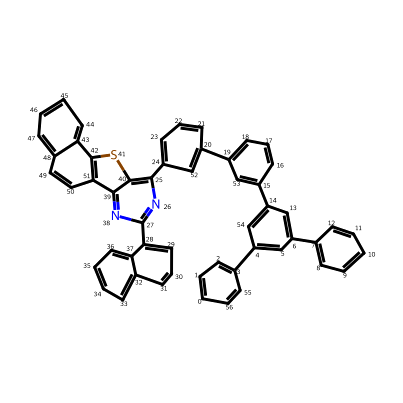 c1ccc(-c2cc(-c3ccccc3)cc(-c3cccc(-c4cccc(-c5nc(-c6cccc7ccccc67)nc6c5sc5c7ccccc7ccc65)c4)c3)c2)cc1